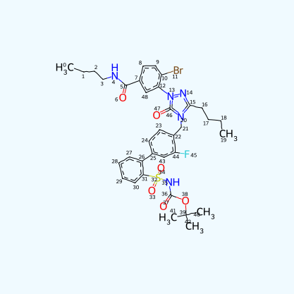 CCCCNC(=O)c1ccc(Br)c(-n2nc(CCCC)n(Cc3ccc(-c4ccccc4S(=O)(=O)NC(=O)OC(C)(C)C)cc3F)c2=O)c1